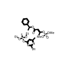 CCOP(=S)(OCC)Oc1cc(C)nc(C(C)C)n1.COP(=O)(OC)O/C(C)=C/C(=O)OC(C)c1ccccc1